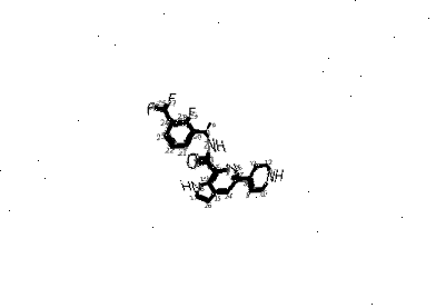 C[C@@H](NC(=O)c1nc(C2=CCNCC2)cc2cc[nH]c12)c1cccc(C(F)F)c1F